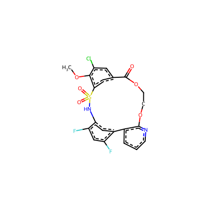 COc1c(Cl)cc2cc1S(=O)(=O)Nc1cc(c(F)cc1F)-c1cccnc1OCCOC2=O